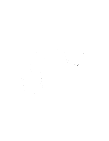 O=C1CCC(Cc2ccc3ccccc3c2)=C1O